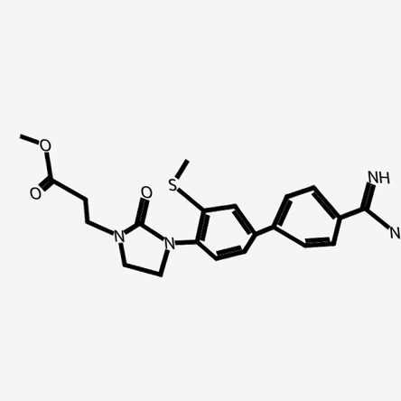 COC(=O)CCN1CCN(c2ccc(-c3ccc(C(=N)N)cc3)cc2SC)C1=O